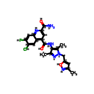 Cc1cc(Cn2nc(C)c(NC(=O)c3cc(C(N)=O)nc4cc(F)c(Cl)cc34)c2C)on1